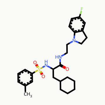 Cc1cccc(S(=O)(=O)NC(CC2CCCCC2)C(=O)NCCN2CCc3cc(F)ccc32)c1